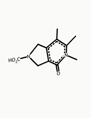 Cc1c2c(c(=O)n(C)c1C)CN(C(=O)O)C2